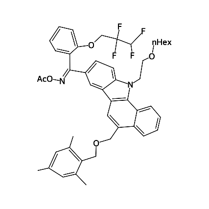 CCCCCCOCCn1c2ccc(/C(=N/OC(C)=O)c3ccccc3OCC(F)(F)C(F)F)cc2c2cc(COCc3c(C)cc(C)cc3C)c3ccccc3c21